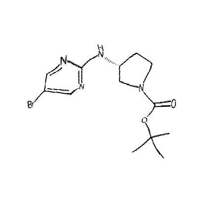 CC(C)(C)OC(=O)N1CC[C@@H](Nc2ncc(Br)cn2)C1